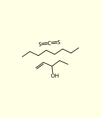 C=CC(O)CC.CCCCCCCC.S=C=S